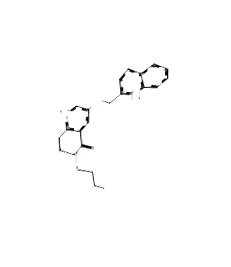 CCCC[C@@H]1C(=O)c2cc(OCc3ccc4ccccc4n3)cnc2C[C@H]1C